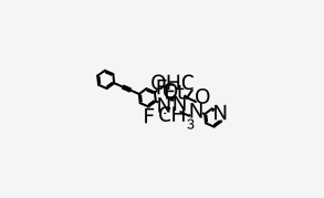 CCC1(CC=O)C(=O)N(c2cccnc2)CCN1C(=O)N(C)c1c(F)cc(C#Cc2ccccc2)cc1F